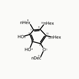 CCCCCCCCCCOc1c(O)c(O)c(CCCCCC)c(CCCCCC)c1CCCCCC